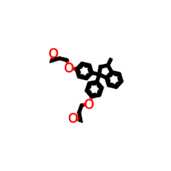 CC1CC(c2ccc(OCC3CO3)cc2)(c2ccc(OCC3CO3)cc2)c2ccccc21